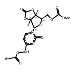 COC(=O)OC[C@H]1O[C@@H](n2ccc(NOC(=O)C(C)C)nc2=O)[C@@H]2OC(=O)O[C@@H]21